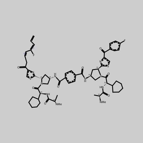 C=C/C=C(F)\C=C/CC(=O)c1csc([C@@H]2C[C@H](NC(=O)c3ccc(C(=O)N[C@H]4C[C@@H](c5nc(C(=O)c6ccc(F)cc6)cs5)N(C(=O)[C@@H](NC(=O)[C@H](C)NC)C5CCCCC5)C4)cc3)CN2C(=O)[C@@H](NC(=O)[C@H](C)NC)C2CCCCC2)n1